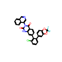 O=c1[nH]c2cc(-c3c(Cl)cccc3-c3ccc4c(c3)OC(F)(F)O4)ccc2c(=O)n1-c1cncc2ccccc12